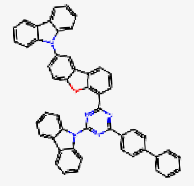 c1ccc(-c2ccc(-c3nc(-c4cccc5c4oc4ccc(-n6c7ccccc7c7ccccc76)cc45)nc(-n4c5ccccc5c5ccccc54)n3)cc2)cc1